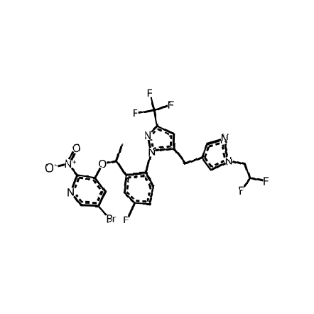 CC(Oc1cc(Br)cnc1[N+](=O)[O-])c1cc(F)ccc1-n1nc(C(F)(F)F)cc1Cc1cnn(CC(F)F)c1